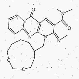 C/N=c1\c(C(=O)N(C)C)cc2c(=O)n3ccccc3nc2n1CC1CCCCCCCCC1